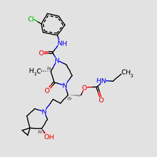 CCNC(=O)OC[C@H](CCN1CCC2(CC2)[C@H](O)C1)N1CCN(C(=O)Nc2cccc(Cl)c2)[C@@H](C)C1=O